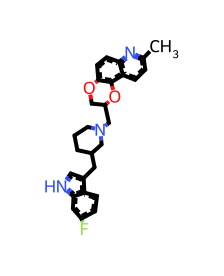 Cc1ccc2c3c(ccc2n1)OCC(CN1CCCC(Cc2c[nH]c4cc(F)ccc24)C1)O3